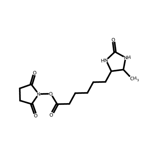 CC1NC(=O)NC1CCCCCC(=O)ON1C(=O)CCC1=O